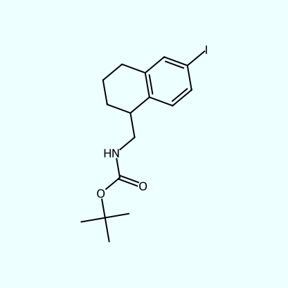 CC(C)(C)OC(=O)NCC1CCCc2cc(I)ccc21